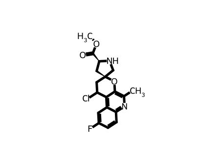 COC(=O)[C@@H]1C[C@]2(CN1)CC(Cl)c1c(c(C)nc3ccc(F)cc13)O2